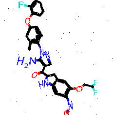 Cc1cc(Oc2ccccc2F)ccc1-n1ncc(C(=O)c2cc3cc(OCC(F)F)c(N=O)cc3[nH]2)c1N